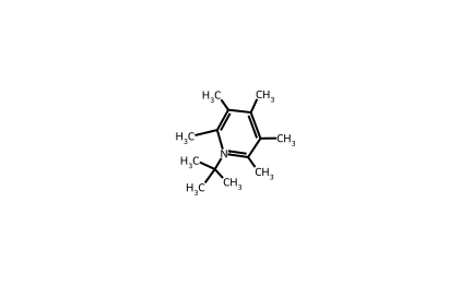 Cc1c(C)c(C)[n+](C(C)(C)C)c(C)c1C